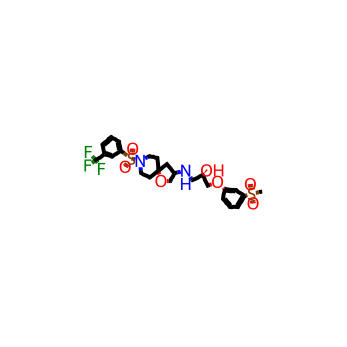 CS(=O)(=O)c1cccc(OC[C@@H](O)CNC2COC3(CCN(S(=O)(=O)c4cccc(C(F)(F)F)c4)CC3)C2)c1